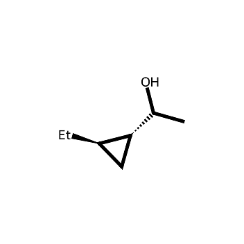 CC[C@@H]1C[C@H]1C(C)O